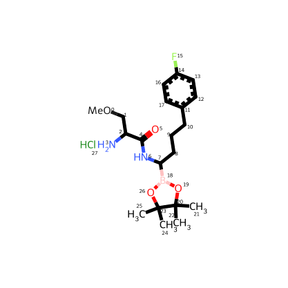 COCC(N)C(=O)NC(CCCc1ccc(F)cc1)B1OC(C)(C)C(C)(C)O1.Cl